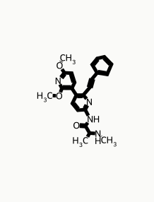 CNC(C)C(=O)Nc1ccc(-c2ccc(OC)nc2OC)c(C#Cc2ccccc2)n1